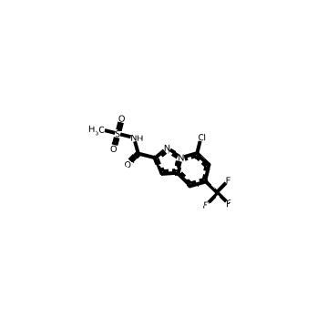 CS(=O)(=O)NC(=O)c1cc2cc(C(F)(F)F)cc(Cl)n2n1